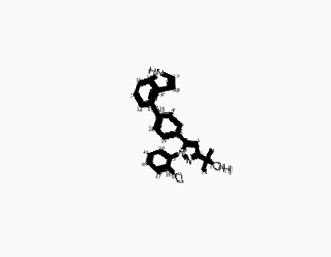 CC(C)(O)c1cc(-c2ccc(-c3cccc4[nH]ccc34)cc2)n(-c2ccccc2Cl)n1